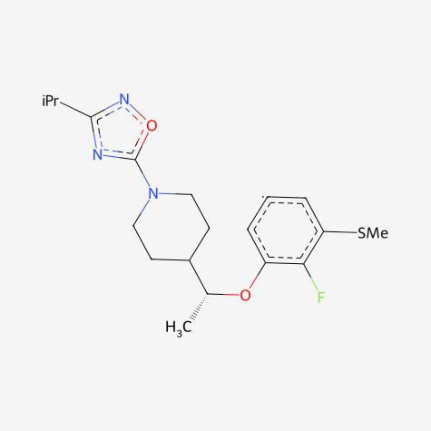 CSc1c[c]cc(O[C@H](C)C2CCN(c3nc(C(C)C)no3)CC2)c1F